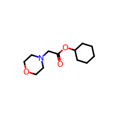 O=C(CN1CCOCC1)OC1CCCCC1